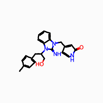 Cc1ccc(CC(CO)n2c(=N)n(Cc3cc[nH]c(=O)c3)c3ccccc32)cc1